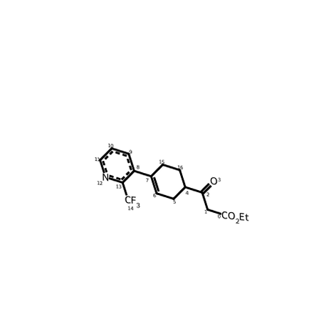 CCOC(=O)CC(=O)C1CC=C(c2cccnc2C(F)(F)F)CC1